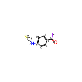 O=C(I)c1ccc(N=C=S)cc1